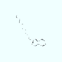 CCCCCCCCCCc1ccc2[c]cccc2c1